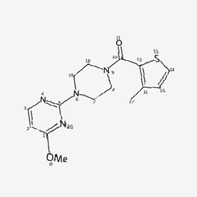 COc1ccnc(N2CCN(C(=O)c3sccc3C)CC2)n1